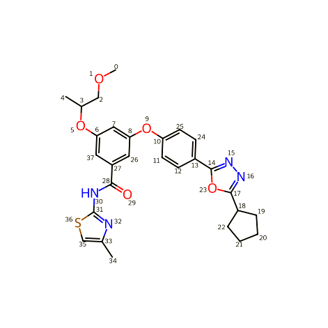 COCC(C)Oc1cc(Oc2ccc(-c3nnc(C4CCCC4)o3)cc2)cc(C(=O)Nc2nc(C)cs2)c1